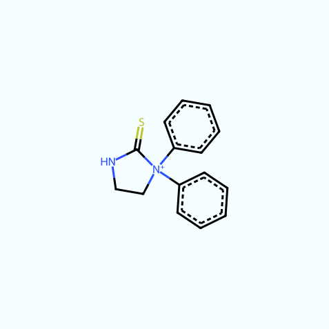 S=C1NCC[N+]1(c1ccccc1)c1ccccc1